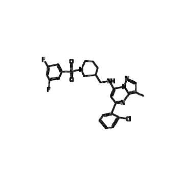 Cc1cnn2c(NCC3CCCN(S(=O)(=O)c4cc(F)cc(F)c4)C3)cc(-c3ccccc3Cl)nc12